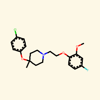 COc1cc(F)ccc1OCCN1CCC(C)(Oc2ccc(Cl)cc2)CC1